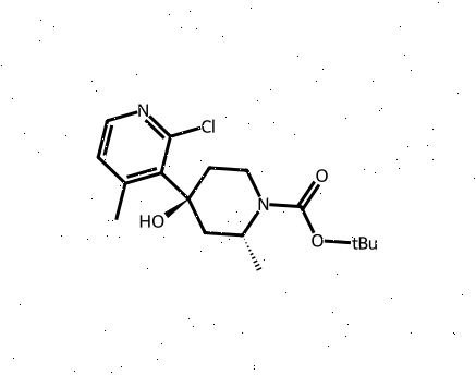 Cc1ccnc(Cl)c1[C@]1(O)CCN(C(=O)OC(C)(C)C)[C@H](C)C1